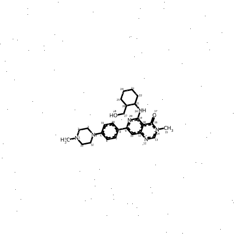 CN1CCN(c2ccc(-c3cc4ncn(C)c(=O)c4c(NC4CCCCC4CO)n3)cc2)CC1